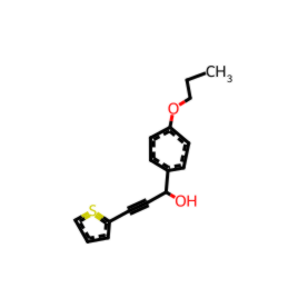 CCCOc1ccc(C(O)C#Cc2cccs2)cc1